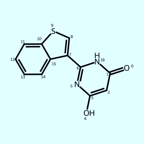 O=c1cc(O)nc(-c2csc3ccccc23)[nH]1